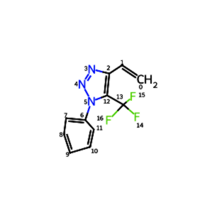 C=Cc1nnn(-c2ccccc2)c1C(F)(F)F